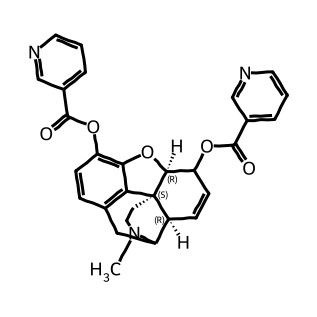 CN1CC[C@]23c4c5ccc(OC(=O)c6cccnc6)c4O[C@H]2C(OC(=O)c2cccnc2)C=C[C@H]3C1C5